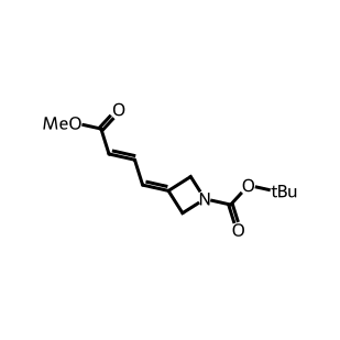 COC(=O)C=CC=C1CN(C(=O)OC(C)(C)C)C1